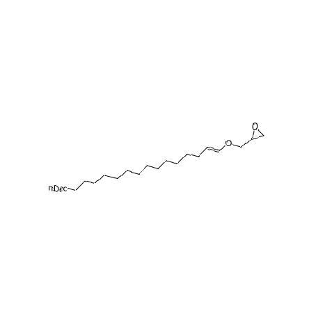 CCCCCCCCCCCCCCCCCCCCCCCC=COCC1CO1